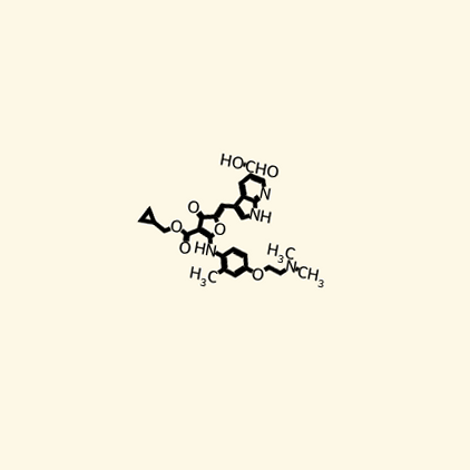 Cc1cc(OCCN(C)C)ccc1NC1=C(C(=O)OCC2CC2)C(=O)C(=Cc2c[nH]c3ncccc23)O1.O=CO